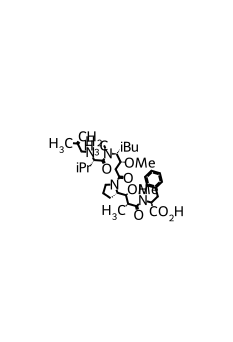 C=C(C)CN[C@H](C(=O)N(C)[C@@H]([C@@H](C)CC)[C@@H](CC(=O)N1CCC[C@H]1[C@H](OC)[C@@H](C)C(=O)N[C@@H](Cc1ccccc1)C(=O)O)OC)C(C)C